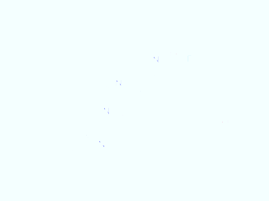 CNC(=O)C(=NOC)c1ccccc1C(C)ON=CC(=NOC)c1ccc(OC)cc1F